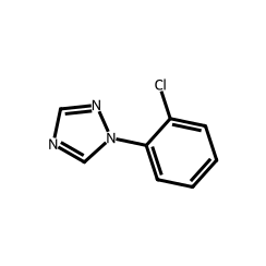 Clc1ccccc1-n1cncn1